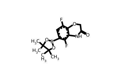 CC1(C)OB(c2cc(F)c3c(c2F)NC(=O)CO3)OC1(C)C